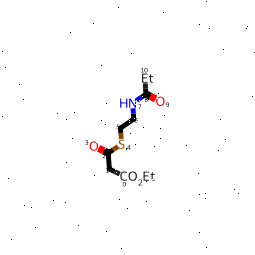 CCOC(=O)CC(=O)SCCNC(=O)CC